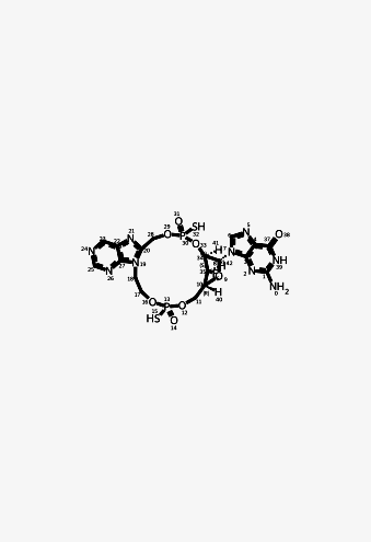 Nc1nc2c(ncn2[C@@H]2O[C@@H]3COP(=O)(S)OCCn4c(nc5cncnc54)COP(=O)(S)O[C@@H]2[C@H]3F)c(=O)[nH]1